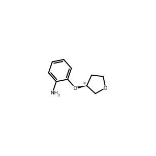 Nc1ccccc1O[C@H]1CCOC1